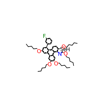 CCCCCOC1=Nc2c(ccc3c4c(-c5cccc(F)c5)cc(OCCCCC)cc4c4cc(OCCCCC)c(OCCCCC)cc4c23)[SeH]1OCCCCC